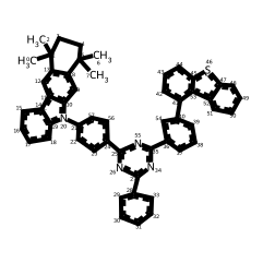 CC1(C)CCC(C)(C)c2cc3c(cc21)c1ccccc1n3-c1ccc(-c2nc(-c3ccccc3)nc(-c3cccc(-c4cccc5sc6ccccc6c45)c3)n2)cc1